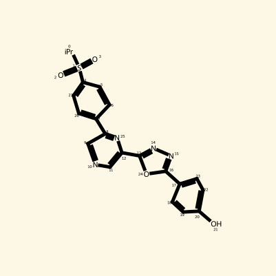 CC(C)S(=O)(=O)c1ccc(-c2cncc(-c3nnc(-c4ccc(O)cc4)o3)n2)cc1